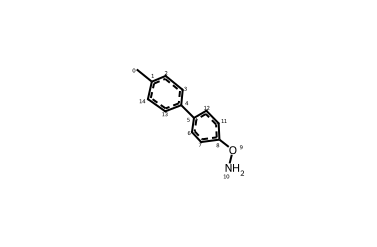 Cc1ccc(-c2ccc(ON)cc2)cc1